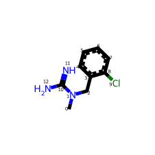 CN(Cc1ccccc1Cl)C(=N)N